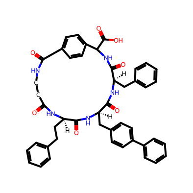 O=C1CCNC(=O)c2ccc(cc2)C(C(=O)O)NC(=O)[C@@H](Cc2ccccc2)NC(=O)[C@@H](Cc2ccc(-c3ccccc3)cc2)NC(=O)[C@@H](CCc2ccccc2)N1